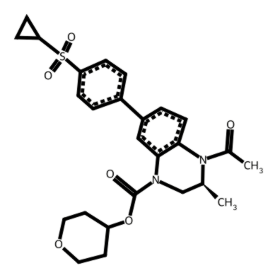 CC(=O)N1c2ccc(-c3ccc(S(=O)(=O)C4CC4)cc3)cc2N(C(=O)OC2CCOCC2)C[C@@H]1C